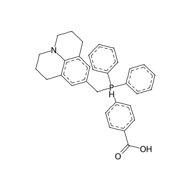 O=C(O)c1ccc([PH](Cc2cc3c4c(c2)CCCN4CCC3)(c2ccccc2)c2ccccc2)cc1